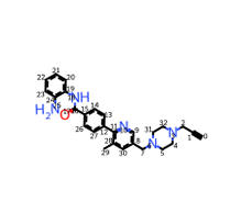 C#CCN1CCN(Cc2cnc(-c3ccc(C(=O)Nc4ccccc4N)cc3)c(C)c2)CC1